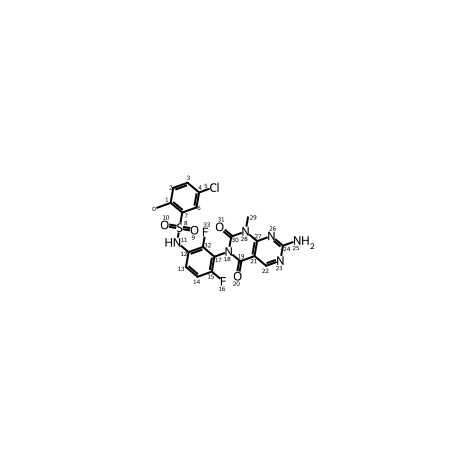 Cc1ccc(Cl)cc1S(=O)(=O)Nc1ccc(F)c(-n2c(=O)c3cnc(N)nc3n(C)c2=O)c1F